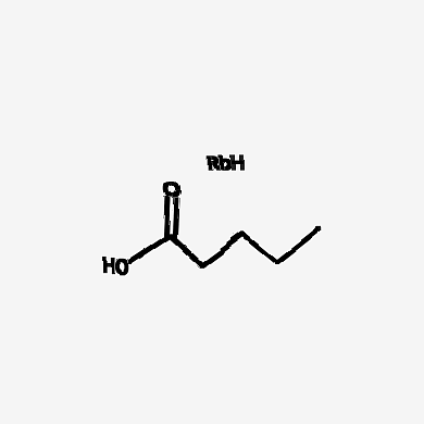 CCCCC(=O)O.[RbH]